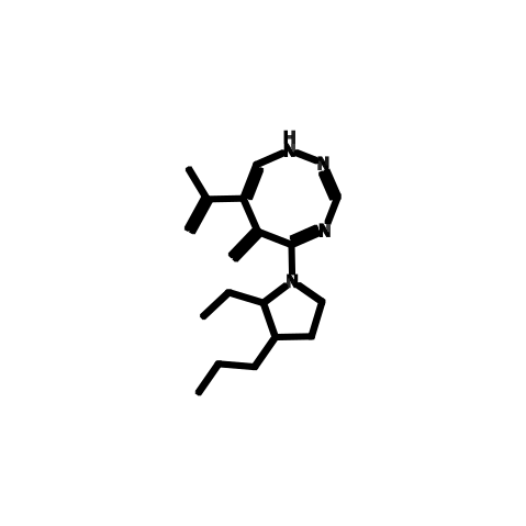 C=C(C)/C1=C/N/N=C\N=C(\N2CCC(CCC)C2CC)C1=C